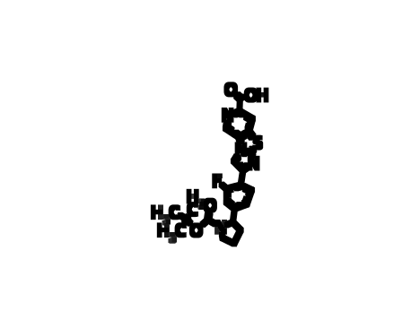 CC(C)(C)OC(=O)N1CCCC1c1ccc(-c2cn3c(n2)sc2cc(C(=O)O)ncc23)c(F)c1